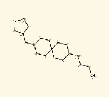 CCSNC1CCC2(CC1)CCN(CC1CCNC1)CC2